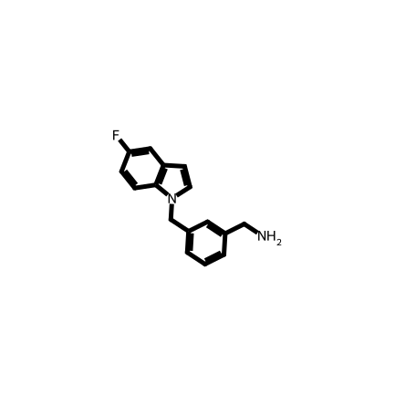 NCc1cccc(Cn2ccc3cc(F)ccc32)c1